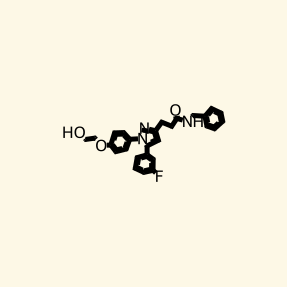 O=C(CCc1cc(-c2cccc(F)c2)n(-c2ccc(OCCO)cc2)n1)NCc1ccccc1